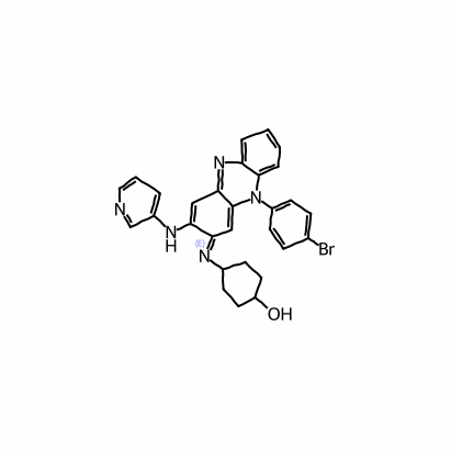 OC1CCC(/N=c2\cc3n(-c4ccc(Br)cc4)c4ccccc4nc-3cc2Nc2cccnc2)CC1